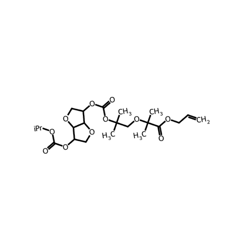 C=CCOC(=O)C(C)(C)OCC(C)(C)OC(=O)OC1COC2C(OC(=O)OC(C)C)COC12